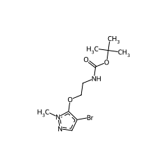 Cn1ncc(Br)c1OCCNC(=O)OC(C)(C)C